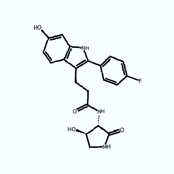 O=C(CCc1c(-c2ccc(F)cc2)[nH]c2cc(O)ccc12)N[C@@H]1C(=O)NC[C@H]1O